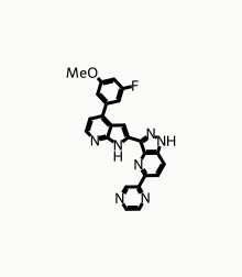 COc1cc(F)cc(-c2ccnc3[nH]c(-c4n[nH]c5ccc(-c6cnccn6)nc45)cc23)c1